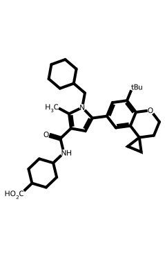 Cc1c(C(=O)NC2CCC(C(=O)O)CC2)cc(-c2cc(C(C)(C)C)c3c(c2)C2(CCO3)CC2)n1CC1CCCCC1